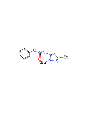 CCc1cc(NC(=O)Oc2ccccc2)n(C(C)(C)C)n1